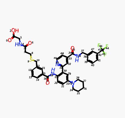 O=C(O)CNC(=O)CCSCc1cccc(C(=O)Nc2ccc(N3CCCCC3)cc2-c2cc(C(=O)NCc3cccc(C(F)(F)F)c3)ccn2)c1